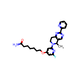 CC1c2cnc(-c3ccccn3)nc2CCN1c1cc(OCCCCCCC(N)=O)cc(F)n1